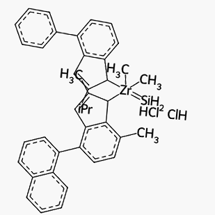 CC1=Cc2c(-c3cccc4ccccc34)ccc(C)c2[CH]1[Zr]([CH3])([CH3])(=[SiH2])[CH]1C(C(C)C)=Cc2c(-c3ccccc3)cccc21.Cl.Cl